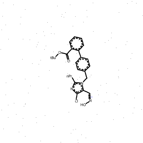 CCCc1nc(Cl)c(/C=N\O)n1Cc1ccc(-c2ccccc2C(=O)OC(C)(C)C)cc1